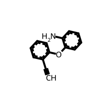 C#Cc1ccccc1Oc1ccccc1N